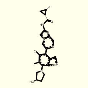 O=C(Nc1cn2cc(-c3c(Cl)c(F)c(N4CC[C@@H](O)C4)c4[nH]ncc34)ncc2n1)[C@@H]1C[C@@H]1F